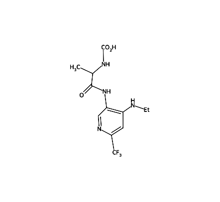 CCNc1cc(C(F)(F)F)ncc1NC(=O)C(C)NC(=O)O